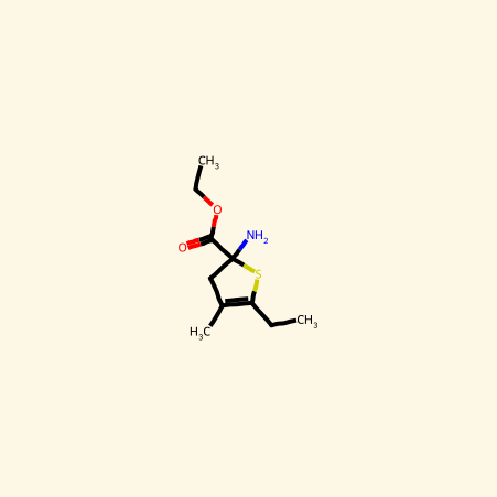 CCOC(=O)C1(N)CC(C)=C(CC)S1